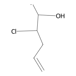 [CH2]C(O)C(Cl)CC=C